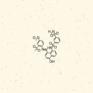 CS(=O)(=O)c1cc([N+](=O)[O-])ccc1N=Nc1ccc(O)c2cccc(NS(=O)(=O)c3cccc(S(N)(=O)=O)c3)c12